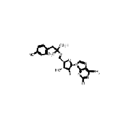 N#Cc1ccc(CC(OC[C@H]2O[C@@H](n3cnc4c(N)nc(Cl)nc43)[C@@H](F)[C@@H]2O)(C(=O)O)C(=O)O)cc1